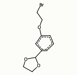 BrCCOc1cccc(C2OCCO2)c1